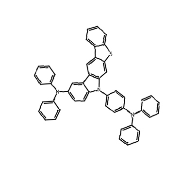 c1ccc(N(c2ccccc2)c2ccc(-n3c4ccc(N(c5ccccc5)c5ccccc5)cc4c4cc5c(cc43)sc3ccccc35)cc2)cc1